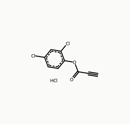 C#CC(=O)Oc1ccc(Cl)cc1Cl.Cl